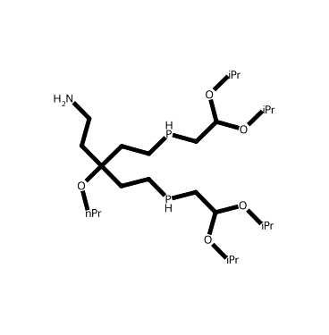 CCCOC(CCN)(CCPCC(OC(C)C)OC(C)C)CCPCC(OC(C)C)OC(C)C